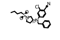 CCCCS(=O)(=O)N1CC[C@H](N(Cc2ccccc2)c2ccc(C#N)c(Cl)c2)C1